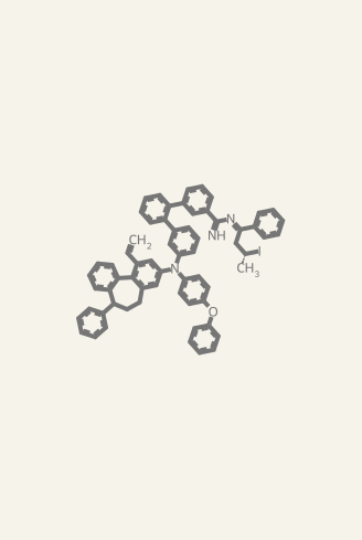 C=Cc1cc(N(c2ccc(Oc3ccccc3)cc2)c2cccc(-c3ccccc3-c3cccc(C(=N)/N=C(\C[C@@H](C)I)c4ccccc4)c3)c2)cc2c1-c1ccccc1C(c1ccccc1)CC2